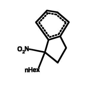 CCCCCCC1([N+](=O)[O-])CCc2ccccc21